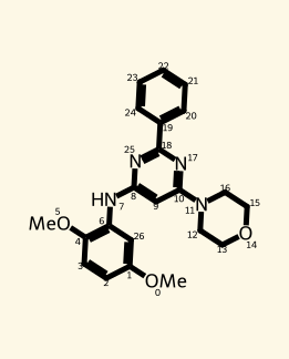 COc1ccc(OC)c(Nc2cc(N3CCOCC3)nc(-c3ccccc3)n2)c1